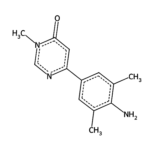 Cc1cc(-c2cc(=O)n(C)cn2)cc(C)c1N